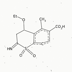 CCOC1CC(=N)S(=O)(=O)c2ccc(C(=O)O)c(C)c21